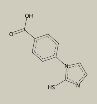 O=C(O)c1ccc(-n2ccnc2S)cc1